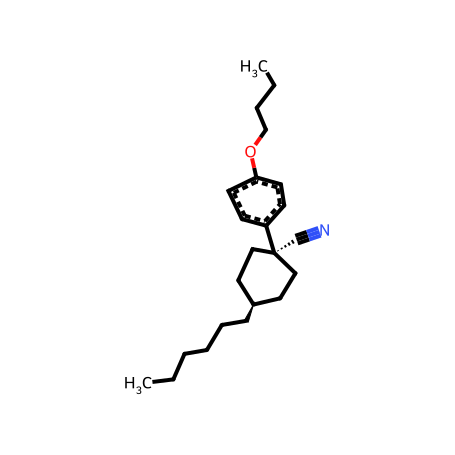 CCCCCC[C@H]1CC[C@@](C#N)(c2ccc(OCCCC)cc2)CC1